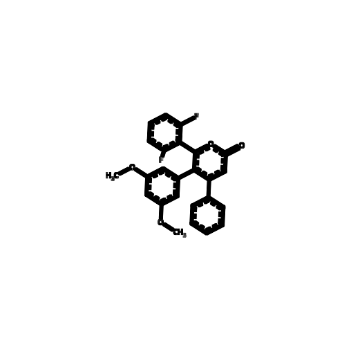 COc1cc(OC)cc(-c2c(-c3ccccc3)cc(=O)oc2-c2c(F)cccc2F)c1